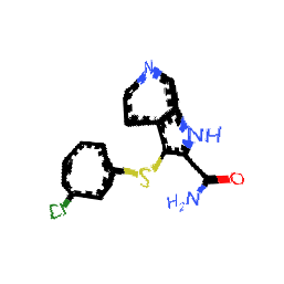 NC(=O)c1[nH]c2cnccc2c1Sc1cccc(Cl)c1